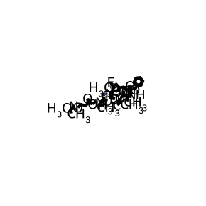 CC(C)=NOCCC(=O)OCN(C)C(=O)/C=C\N(C=O)C1OC(COP(=O)(NC(C)C(=O)OC(C)C)Oc2ccccc2)C[C@@]1(C)F